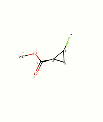 CCOC(=O)[C@@H]1C[C@@H]1F